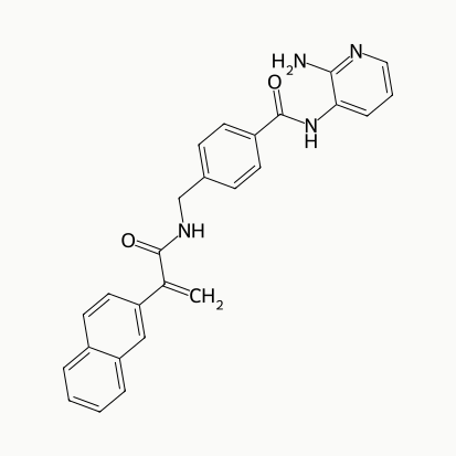 C=C(C(=O)NCc1ccc(C(=O)Nc2cccnc2N)cc1)c1ccc2ccccc2c1